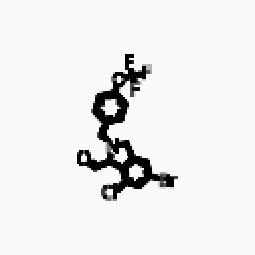 O=CC1c2c(Cl)cc(Br)cc2CN1Cc1ccc(OC(F)(F)F)cc1